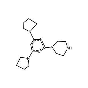 c1c(N2CCCC2)nc(N2CCNCC2)nc1N1CCCC1